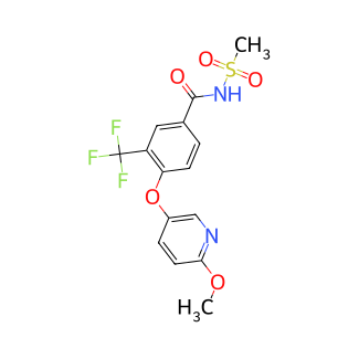 COc1ccc(Oc2ccc(C(=O)NS(C)(=O)=O)cc2C(F)(F)F)cn1